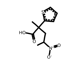 CC(CC(C)(C(=O)O)c1cccs1)[N+](=O)[O-]